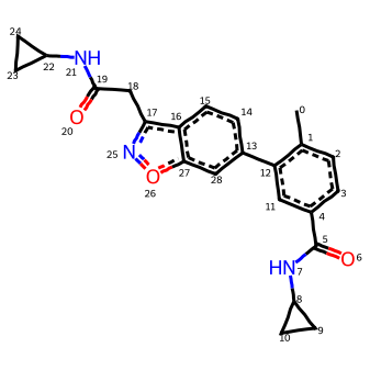 Cc1ccc(C(=O)NC2CC2)cc1-c1ccc2c(CC(=O)NC3CC3)noc2c1